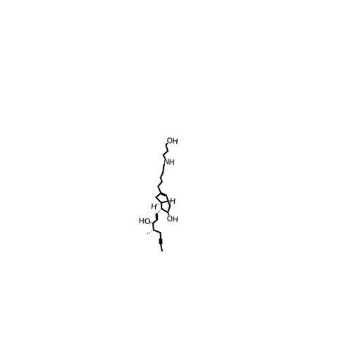 CC#CC[C@H](C)[C@H](O)/C=C/[C@@H]1[C@H]2CC(CCCCCNCCCO)=C[C@H]2C[C@H]1O